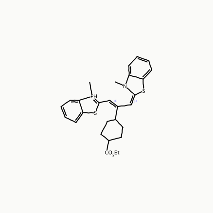 CCOC(=O)C1CCC(C(=C\C2=[PH](C)c3ccccc3S2)/C=C2/Sc3ccccc3N2C)CC1